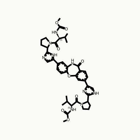 COC(=O)N[C@H](C(=O)N1CCCC1c1nc(-c2ccc3c(c2)Oc2ccc(-c4cnc(C5CCCN5C(=O)[C@@H](NC(=O)OC)C(C)C)[nH]4)cc2NC3=O)c[nH]1)C(C)C